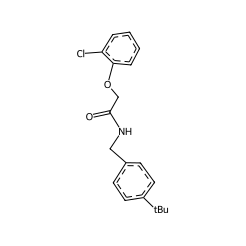 CC(C)(C)c1ccc(CNC(=O)COc2ccccc2Cl)cc1